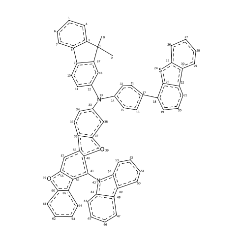 CC1(C)c2ccccc2-c2ccc(N(c3ccc(-c4cccc5c4sc4ccccc45)cc3)c3ccc4c(c3)oc3c(-n5c6ccccc6c6ccccc65)c5c(cc34)oc3ccccc35)cc21